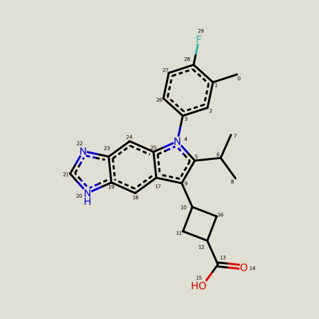 Cc1cc(-n2c(C(C)C)c(C3CC(C(=O)O)C3)c3cc4[nH]cnc4cc32)ccc1F